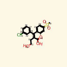 CS(=O)(=O)c1ccc(C(=C(CCO)C(=O)O)c2cccc(Cl)c2)cc1